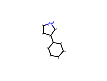 C1CCC(C2CCNC2)CC1